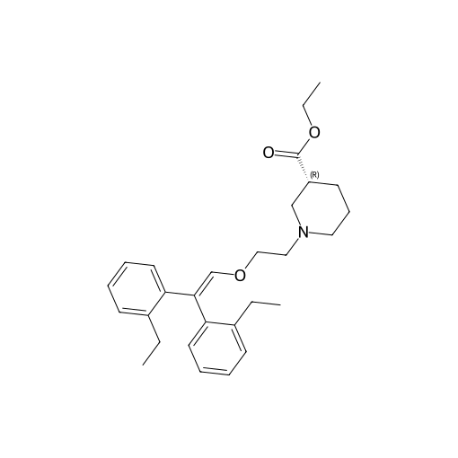 CCOC(=O)[C@@H]1CCCN(CCOC=C(c2ccccc2CC)c2ccccc2CC)C1